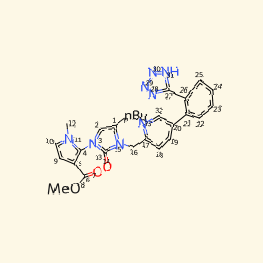 CCCCc1cn(-c2c(C(=O)OC)ccn2C)c(=O)n1Cc1ccc(-c2ccccc2-c2nnn[nH]2)cn1